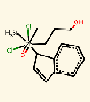 [CH3][Zr](=[O])([SiH3])([Cl])([Cl])([CH2]CCO)[CH]1C=Cc2ccccc21